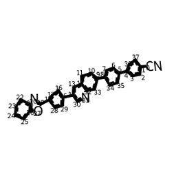 N#Cc1ccc(-c2ccc(-c3ccc4cc(-c5ccc(-c6nc7ccccc7o6)cc5)cnc4c3)cc2)cc1